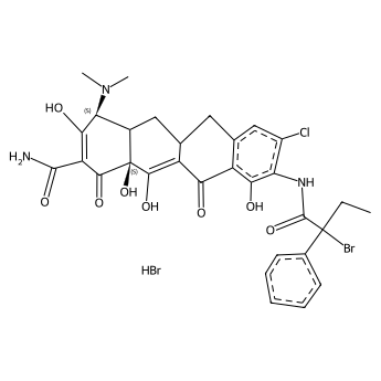 Br.CCC(Br)(C(=O)Nc1c(Cl)cc2c(c1O)C(=O)C1=C(O)[C@]3(O)C(=O)C(C(N)=O)=C(O)[C@@H](N(C)C)C3CC1C2)c1ccccc1